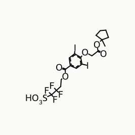 CC1(OC(=O)COc2c(I)cc(C(=O)OCCC(F)(F)C(F)(F)S(=O)(=O)O)cc2I)CCCC1